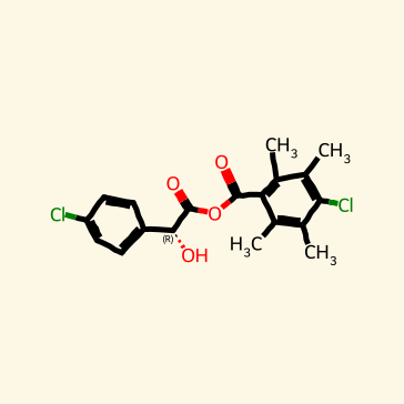 Cc1c(C)c(C(=O)OC(=O)[C@H](O)c2ccc(Cl)cc2)c(C)c(C)c1Cl